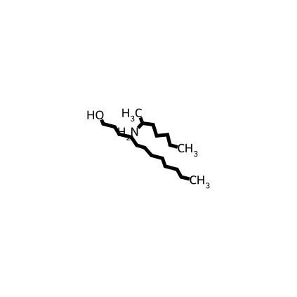 CCCCCC(C)N.CCCCCCCCCCCCO